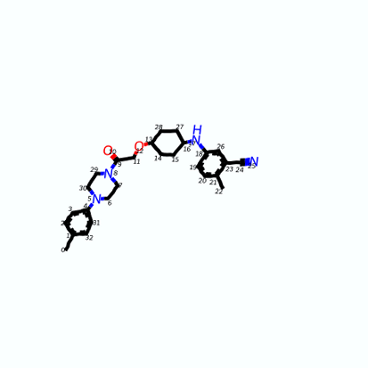 Cc1ccc(N2CCN(C(=O)COC3CCC(Nc4ccc(C)c(C#N)c4)CC3)CC2)cc1